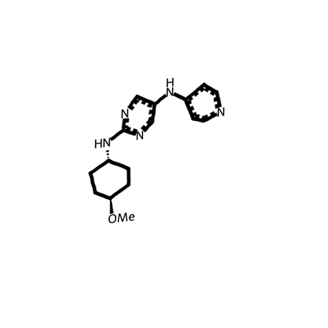 CO[C@H]1CC[C@H](Nc2ncc(Nc3ccncc3)cn2)CC1